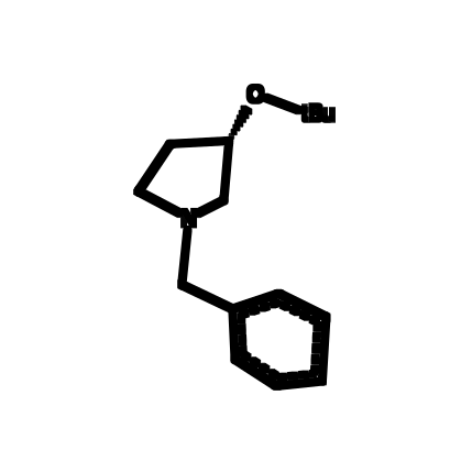 CC(C)(C)O[C@H]1CCN(Cc2ccccc2)C1